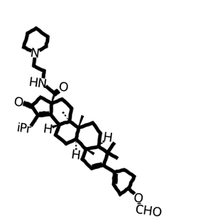 CC(C)C1=C2[C@H]3CC[C@@H]4[C@@]5(C)CC=C(C6=CCC(OC=O)CC6)C(C)(C)[C@@H]5CC[C@@]4(C)[C@]3(C)CC[C@@]2(C(=O)NCCN2CCCCC2)CC1=O